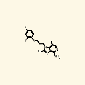 CCc1nc2c(N)ncc(C)c2n1CCCSc1ccc(F)cc1F